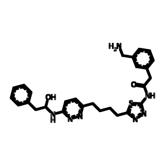 NCc1cccc(CC(=O)Nc2nnc(CCCCc3ccc(NC(O)Cc4ccccc4)nn3)s2)c1